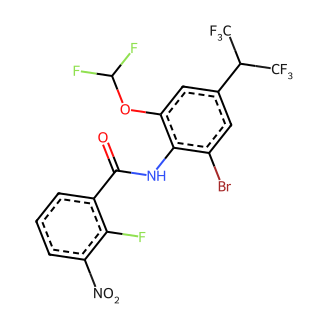 O=C(Nc1c(Br)cc(C(C(F)(F)F)C(F)(F)F)cc1OC(F)F)c1cccc([N+](=O)[O-])c1F